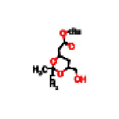 CC(C)(C)OC(=O)CC1C[C@@H](CO)OC(C)(C)O1